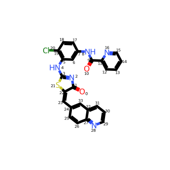 O=C1N=C(Nc2cc(NC(=O)c3ccccn3)ccc2Cl)SC1=Cc1ccc2ncccc2c1